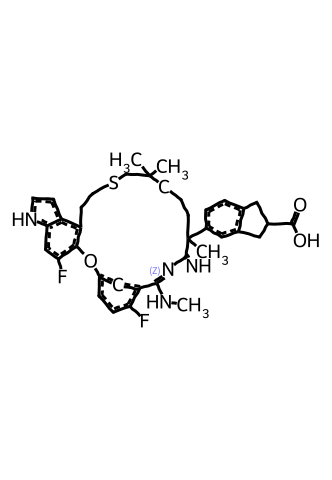 CN/C1=N\C(=N)C(C)(c2ccc3c(c2)CC(C(=O)O)C3)CCCC(C)(C)CSCCc2c(c(F)cc3[nH]ccc23)Oc2ccc(F)c1c2